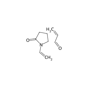 C=CC=O.C=CN1CCCC1=O